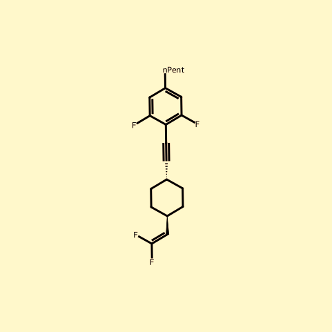 CCCCCc1cc(F)c(C#C[C@H]2CC[C@H](C=C(F)F)CC2)c(F)c1